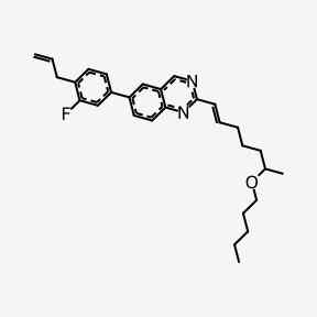 C=CCc1ccc(-c2ccc3nc(C=CCCCC(C)OCCCCC)ncc3c2)cc1F